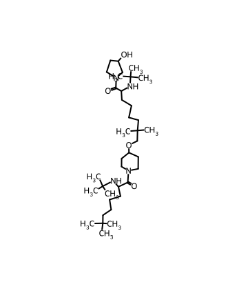 CC(C)(C)CCCCC(NC(C)(C)C)C(=O)N1CCC(OCC(C)(C)CCCCC(NC(C)(C)C)C(=O)N2CCC(O)C2)CC1